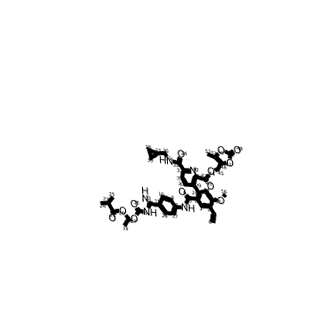 C=Cc1cc(C(=O)Nc2ccc(C(=N)NC(=O)OC(C)OC(=O)C(C)C)cc2)c(-c2ccc(C(=O)NCC3CC3)nc2C(=O)OCc2oc(=O)oc2C)cc1OC